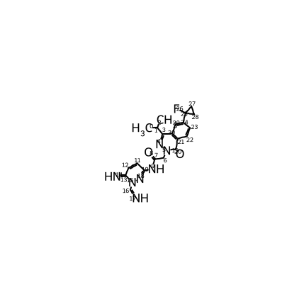 CC(C)c1nn(CC(=O)Nc2ccc(=N)n(C=N)n2)c(=O)c2ccc(C3(F)CC3)cc12